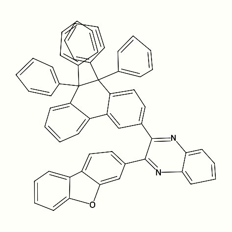 c1ccc(C2(c3ccccc3)c3ccccc3-c3cc(-c4nc5ccccc5nc4-c4ccc5c(c4)oc4ccccc45)ccc3C2(c2ccccc2)c2ccccc2)cc1